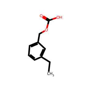 CCc1cccc(COC(=O)O)c1